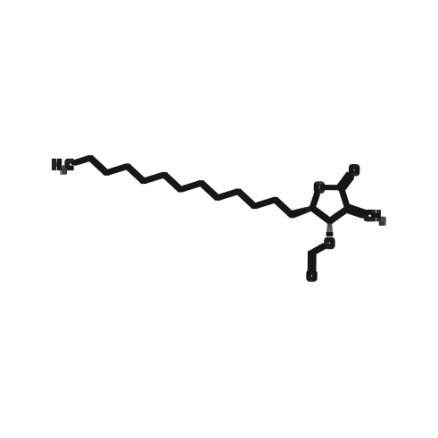 C=C1C(=O)O[C@H](CCCCCCCCCCCCC)[C@H]1OC=O